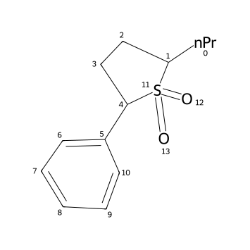 CCCC1CCC(c2ccccc2)S1(=O)=O